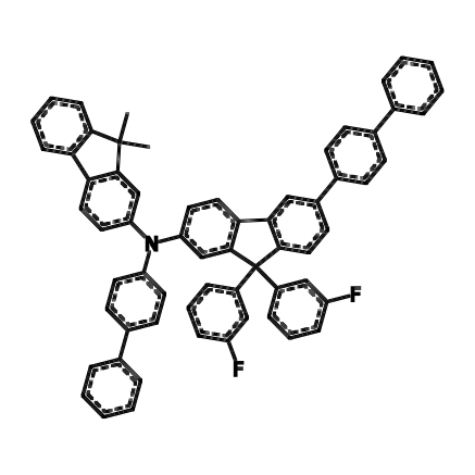 CC1(C)c2ccccc2-c2ccc(N(c3ccc(-c4ccccc4)cc3)c3ccc4c(c3)C(c3cccc(F)c3)(c3cccc(F)c3)c3ccc(-c5ccc(-c6ccccc6)cc5)cc3-4)cc21